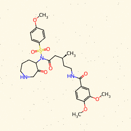 COc1ccc(S(=O)(=O)N(C(=O)C[C@@H](C)CCNC(=O)c2ccc(OC)c(OC)c2)C2CCCNCC2=O)cc1